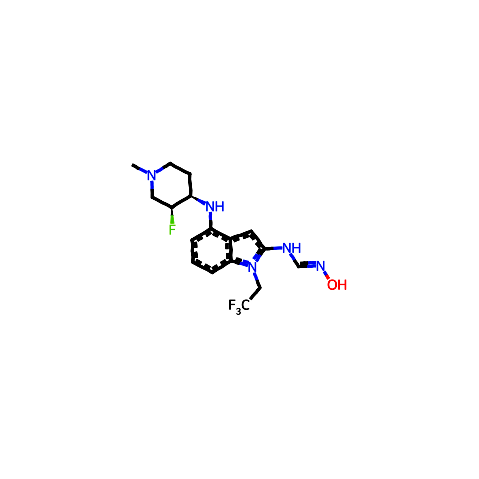 CN1CC[C@@H](Nc2cccc3c2cc(NC=NO)n3CC(F)(F)F)[C@@H](F)C1